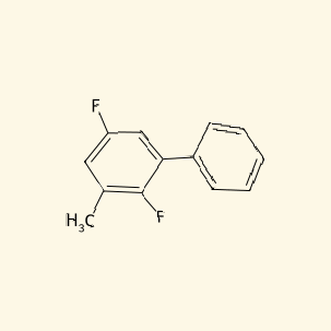 Cc1cc(F)cc(-c2ccccc2)c1F